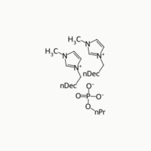 CCCCCCCCCCC[n+]1ccn(C)c1.CCCCCCCCCCC[n+]1ccn(C)c1.CCCOP(=O)([O-])[O-]